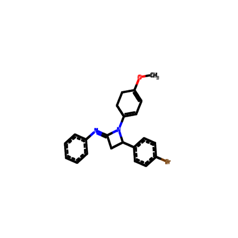 COC1=CC=C(N2/C(=N/c3ccccc3)CC2c2ccc(Br)cc2)CC1